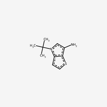 CC(C)(C)n1cc(N)c2sccc21